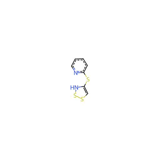 C1=C(Sc2ccccn2)NSS1